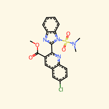 COC(=O)c1cc2cc(Cl)ccc2nc1-c1nc2ccccc2n1S(=O)(=O)N(C)C